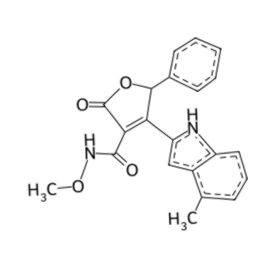 CONC(=O)C1=C(c2cc3c(C)cccc3[nH]2)C(c2ccccc2)OC1=O